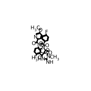 COc1ccc(C(=O)Nc2ccc(F)c([C@@]3(C)NC(=N)N(C)S(=O)(=O)[C@]34CCN(S(=O)(=O)c3ccc(F)cc3)C4)c2)nc1